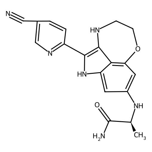 C[C@H](Nc1cc2c3c(c(-c4ccc(C#N)cn4)[nH]c3c1)NCCO2)C(N)=O